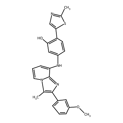 COc1cccc(-c2nc3c(Nc4ccc(-c5cnc(C)s5)c(O)c4)cccn3c2C)c1